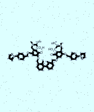 CCC[C@@H](C(=O)O)N(C)Cc1cc(Cl)c(OCc2cccc(-c3cccc(COc4cc(OCc5ccc(-n6cccn6)nc5)c(CN(C)[C@@H](CCC)C(=O)O)cc4Cl)c3C)c2C)cc1OCc1ccc(-n2cccn2)nc1